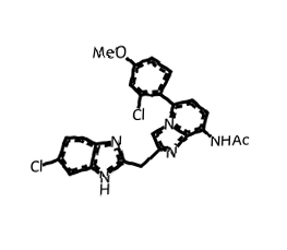 COc1ccc(-c2ccc(NC(C)=O)c3nc(Cc4nc5ccc(Cl)cc5[nH]4)cn23)c(Cl)c1